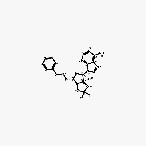 CC1(C)OC2[C@H](COCc3ccccc3)[CH][C@@H](n3cnc4c(N)ncnc43)[C@H]2O1